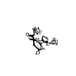 CN1C(=O)CC(C)(C(=O)NN)N[C@@H]1C(=O)OC(C)(C)C